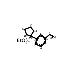 CCOC(=O)C1(c2cccc(CBr)c2)CCCC1